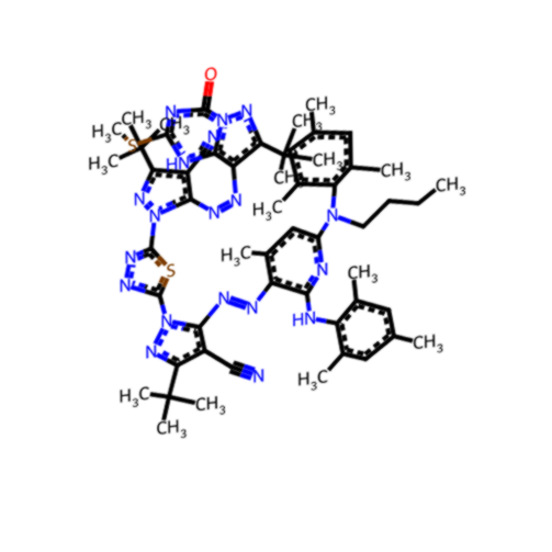 CCCCN(c1cc(C)c(N=Nc2c(C#N)c(C(C)(C)C)nn2-c2nnc(-n3nc(C(C)(C)C)c(C#N)c3N=Nc3c(C(C)(C)C)nn4c(=O)nc(SC)[nH]c34)s2)c(Nc2c(C)cc(C)cc2C)n1)c1c(C)cc(C)cc1C